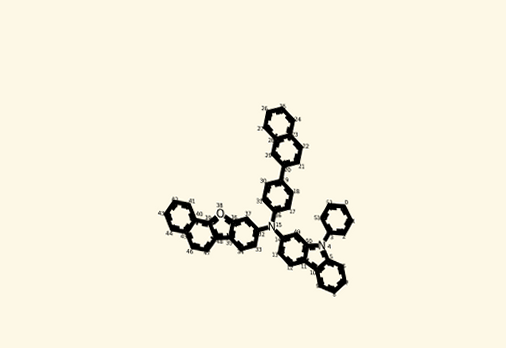 c1ccc(-n2c3ccccc3c3ccc(N(c4ccc(-c5ccc6ccccc6c5)cc4)c4ccc5c(c4)oc4c6ccccc6ccc54)cc32)cc1